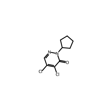 O=c1c(Cl)c(Cl)cnn1C1CCCC1